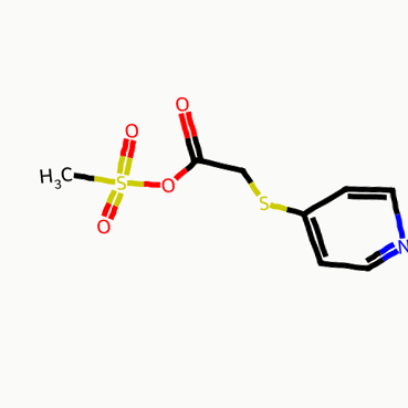 CS(=O)(=O)OC(=O)CSc1ccncc1